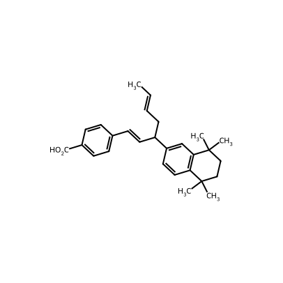 CC=CCC(/C=C/c1ccc(C(=O)O)cc1)c1ccc2c(c1)C(C)(C)CCC2(C)C